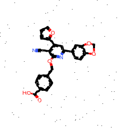 N#Cc1c(-c2ccco2)cc(-c2ccc3c(c2)OCO3)nc1OCc1ccc(C(=O)O)cc1